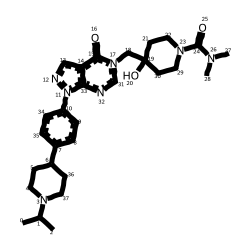 CC(C)N1CCC(c2ccc(-n3ncc4c(=O)n(CC5(O)CCN(C(=O)N(C)C)CC5)cnc43)cc2)CC1